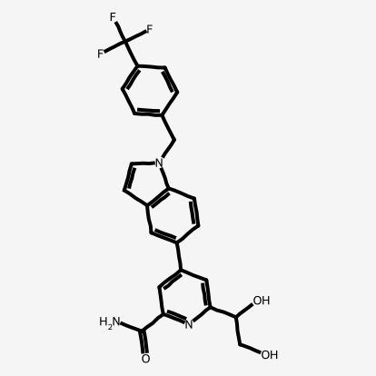 NC(=O)c1cc(-c2ccc3c(ccn3Cc3ccc(C(F)(F)F)cc3)c2)cc(C(O)CO)n1